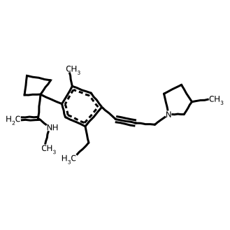 C=C(NC)C1(c2cc(CC)c(C#CCN3CCC(C)C3)cc2C)CCC1